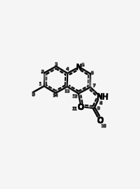 Cc1ccc2ncc3[nH]c(=O)oc3c2c1